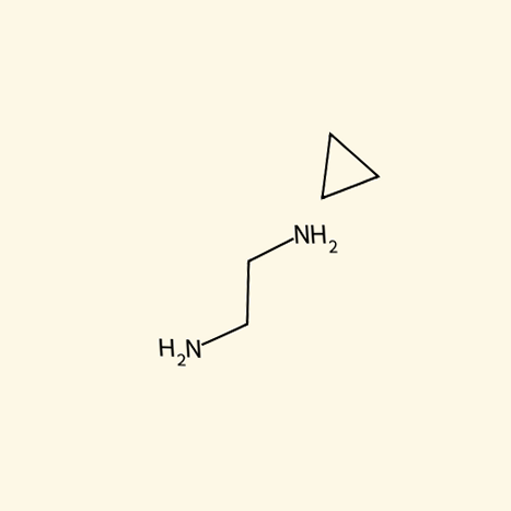 C1CC1.NCCN